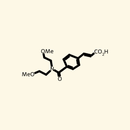 COCCN(CCOC)C(=O)c1ccc(C=CC(=O)O)cc1